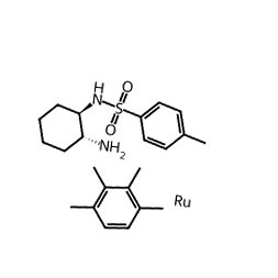 Cc1ccc(C)c(C)c1C.Cc1ccc(S(=O)(=O)N[C@@H]2CCCC[C@H]2N)cc1.[Ru]